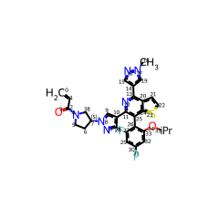 C=CC(=O)N1CC[C@H](n2cc(-c3nc(-c4cnn(C)c4)c4ccsc4c3-c3c(F)cc(F)cc3OC(C)C)cn2)C1